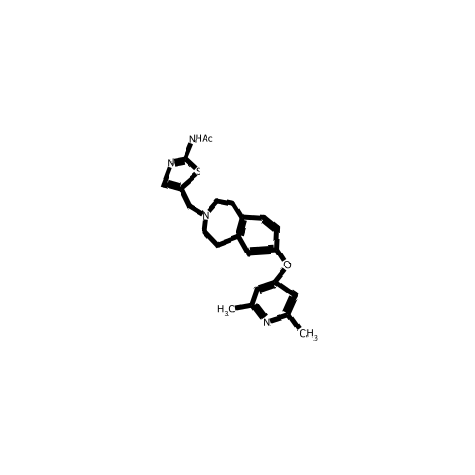 CC(=O)Nc1ncc(CN2CCc3ccc(Oc4cc(C)nc(C)c4)cc3CC2)s1